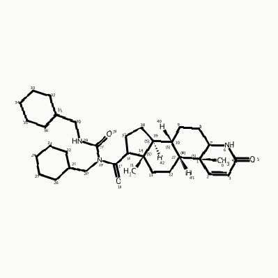 C[C@]12C=CC(=O)NC1CC[C@@H]1[C@H]2CC[C@]2(C)C(C(=O)N(CC3CCCCC3)C(=O)NCC3CCCCC3)CC[C@@H]12